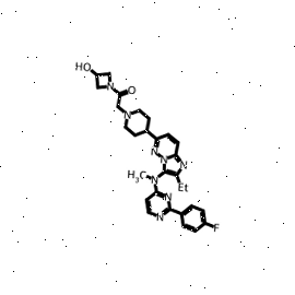 CCc1nc2ccc(C3CCN(CC(=O)N4CC(O)C4)CC3)nn2c1N(C)c1ccnc(-c2ccc(F)cc2)n1